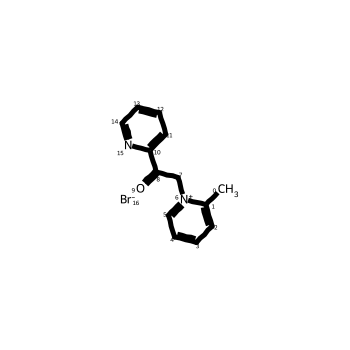 Cc1cccc[n+]1CC(=O)c1ccccn1.[Br-]